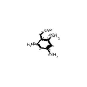 CNCc1c(N)cc(N)cc1N